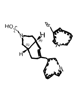 Brc1cccnc1.O=C(O)N1C[C@H]2CC(c3cccnc3)=C[C@H]2C1